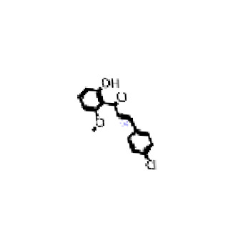 COc1cccc(O)c1C(=O)/C=C/c1ccc(Cl)cc1